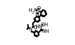 CC(C)N(Cc1cccc(C(=N)NO)c1)C(=O)Cc1ccc(-c2ccccc2S(N)(=O)=O)cc1